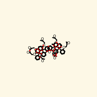 C=CC(c1ccccc1OCC1CO1)(c1ccccc1OCC1CO1)c1cccc(COCc2cccc(C(C=C)(c3ccccc3OCC3CO3)c3ccccc3OCC3CO3)c2C(C=C)(c2ccccc2OCC2CO2)c2ccccc2OCC2CO2)c1C(C=C)(c1ccccc1OCC1CO1)c1ccccc1OCC1CO1